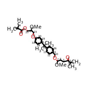 C=C(C)C(=O)CCC(OC)OCc1ccc(C(C)(C)c2ccc(OCC(COC(=O)C(=C)C)OC)cc2)cc1